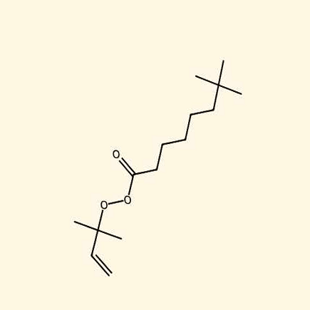 C=CC(C)(C)OOC(=O)CCCCCC(C)(C)C